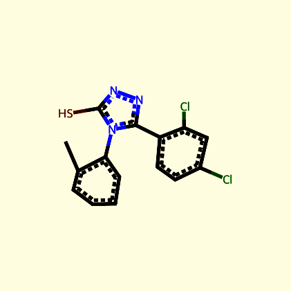 Cc1ccccc1-n1c(S)nnc1-c1ccc(Cl)cc1Cl